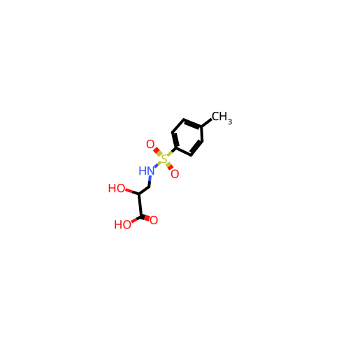 Cc1ccc(S(=O)(=O)NCC(O)C(=O)O)cc1